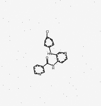 O=C(Nc1ccncc1Nc1ccc(Cl)cc1)c1cccnc1